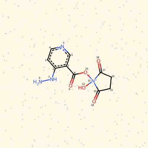 NNc1ccncc1C(=O)O[N+]1(O)C(=O)CCC1=O